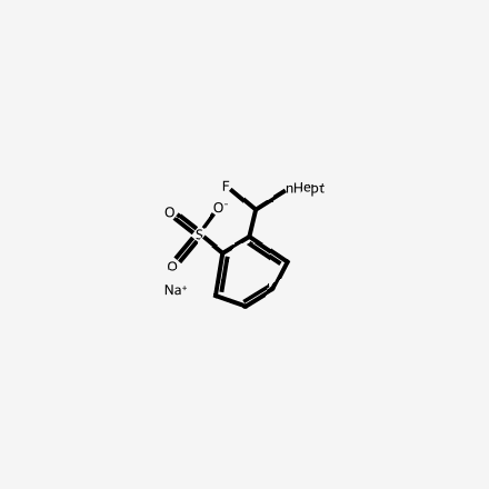 CCCCCCCC(F)c1ccccc1S(=O)(=O)[O-].[Na+]